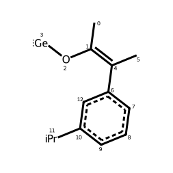 CC([O][Ge])=C(C)c1cccc(C(C)C)c1